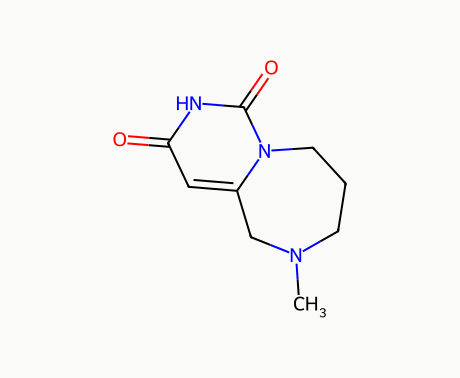 CN1CCCn2c(cc(=O)[nH]c2=O)C1